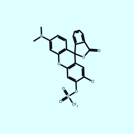 CN(C)c1ccc2c(c1)Oc1cc(OS(=O)(=O)C(F)(F)F)c(Cl)cc1C21OC(=O)c2ccccc21